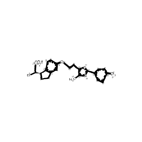 CCC(C(=O)O)[C@@H]1CCc2cc(OCCc3oc(-c4ccc(C(F)(F)F)cc4)nc3C)ccc21